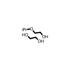 CC(C)OCCO.OCCO